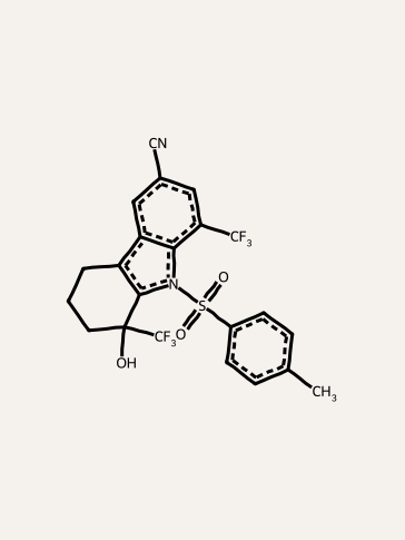 Cc1ccc(S(=O)(=O)n2c3c(c4cc(C#N)cc(C(F)(F)F)c42)CCCC3(O)C(F)(F)F)cc1